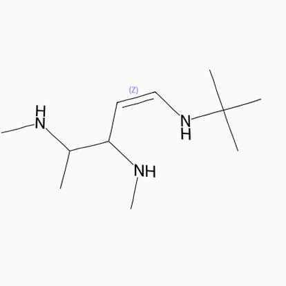 CNC(C)C(/C=C\NC(C)(C)C)NC